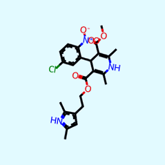 COC(=O)C1=C(C)NC(C)=C(C(=O)OCCc2cc(C)[nH]c2C)C1c1cc(Cl)ccc1[N+](=O)[O-]